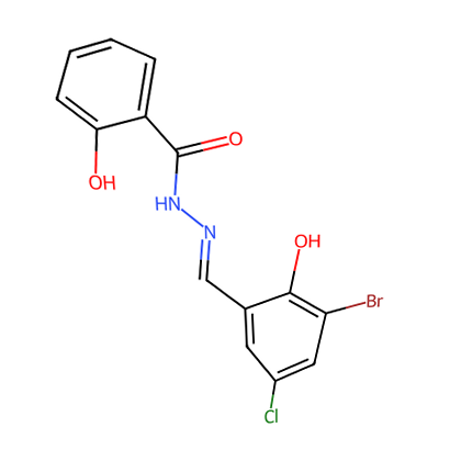 O=C(N/N=C/c1cc(Cl)cc(Br)c1O)c1ccccc1O